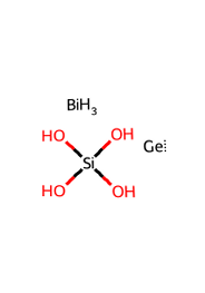 O[Si](O)(O)O.[BiH3].[Ge]